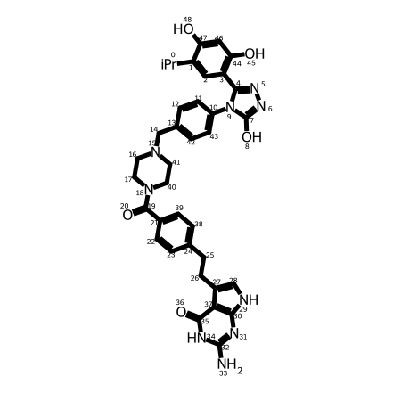 CC(C)c1cc(-c2nnc(O)n2-c2ccc(CN3CCN(C(=O)c4ccc(CCc5c[nH]c6nc(N)[nH]c(=O)c56)cc4)CC3)cc2)c(O)cc1O